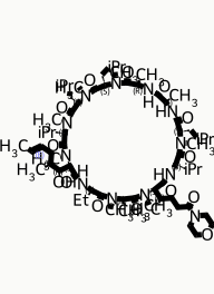 C/C=C/C[C@@H](C)[C@@H](O)[C@H]1C(=O)N[C@@H](CC)C(=O)N(C)[C@H](C)C(=O)N(C)[C@@H]([C@H](C)CCC(=O)N2CCOCC2)C(=O)N[C@@H](C(C)C)C(=O)N(C)[C@@H](CC(C)C)C(=O)N[C@@H](C)C(=O)N[C@H](C)C(=O)N(C)[C@@H](CC(C)C)C(=O)N(C)[C@@H](CC(C)C)C(=O)N(C)[C@@H](C(C)C)C(=O)N1C